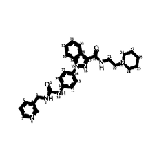 O=C(NCc1cccnc1)Nc1ccc(-n2nc(C(=O)NCCN3CCCCC3)c3ccccc32)cc1